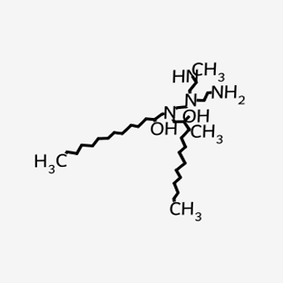 CCCCCCCCCCCCC(O)CN(CCN(CCN)CCNC)CC(O)C(C)CCCCCCCCCC